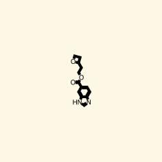 O=C(OCCC1CCO1)c1ccc2nc[nH]c2c1